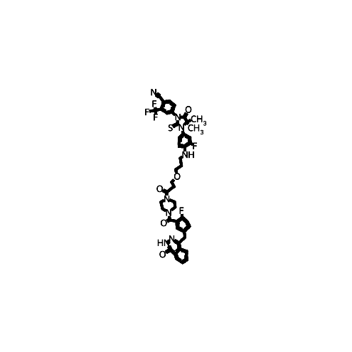 CC1(C)C(=O)N(c2ccc(C#N)c(C(F)(F)F)c2)C(=S)N1c1ccc(NCCCOCCC(=O)N2CCN(C(=O)c3cc(Cc4n[nH]c(=O)c5ccccc45)ccc3F)CC2)c(F)c1